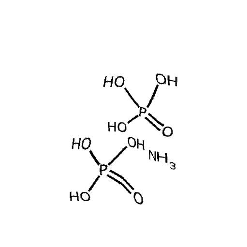 N.O=P(O)(O)O.O=P(O)(O)O